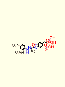 COc1cc([N+](=O)[O-])ccc1N/N=C(\C(C)=O)C(=O)Nc1ccc(CC(O)(OP(O)O)O[PH](=O)O)cc1